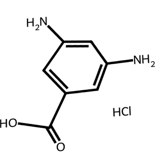 Cl.Nc1cc(N)cc(C(=O)O)c1